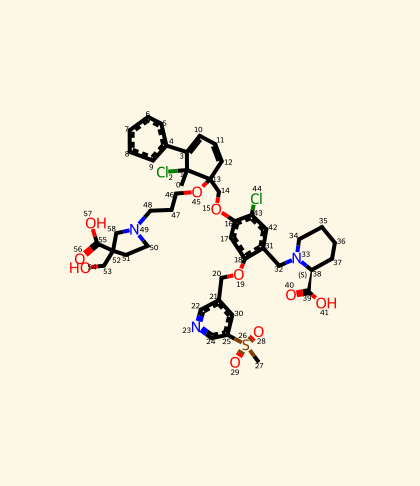 CC1(Cl)C(c2ccccc2)=CC=CC1(COc1cc(OCc2cncc(S(C)(=O)=O)c2)c(CN2CCCC[C@H]2C(=O)O)cc1Cl)OCCCN1CCC(CO)(C(=O)O)C1